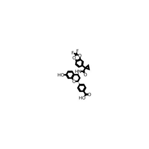 O=C(O)c1ccc([C@H]2C[C@@H](NC(=O)C3(c4ccc5c(c4)OC(F)(F)O5)CC3)c3ccc(O)cc3O2)cc1